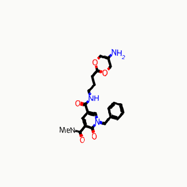 CNC(=O)c1cc(C(=O)NCCCC2OCC(N)CO2)cn(Cc2ccccc2)c1=O